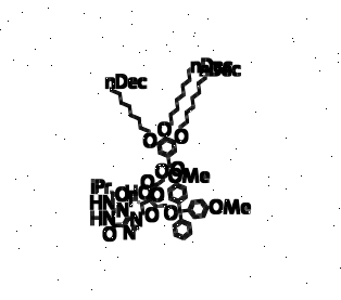 CCCCCCCCCCCCCCCCCCOc1cc(C(=O)OCC(=O)O[C@@]2(O)[C@@H](COC(c3ccccc3)(c3ccc(OC)cc3)c3ccc(OC)cc3)O[C@@H](n3cnc4c(=O)[nH]c(NC(=O)C(C)C)nc43)[C@@H]2F)cc(OCCCCCCCCCCCCCCCCCC)c1OCCCCCCCCCCCCCCCCCC